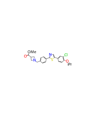 COC(=O)C1CN(Cc2ccc(-c3ncc(-c4ccc(OC(C)C)c(Cl)c4)s3)cc2)C1